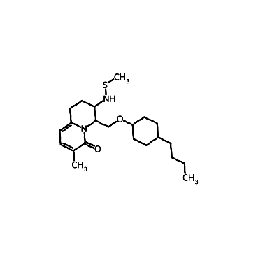 CCCCC1CCC(OCC2C(NSC)CCc3ccc(C)c(=O)n32)CC1